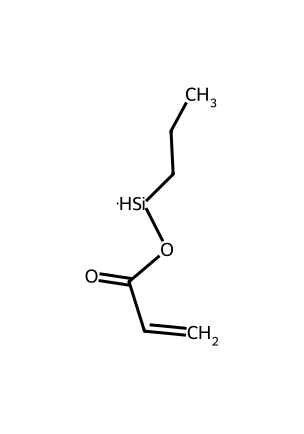 C=CC(=O)O[SiH]CCC